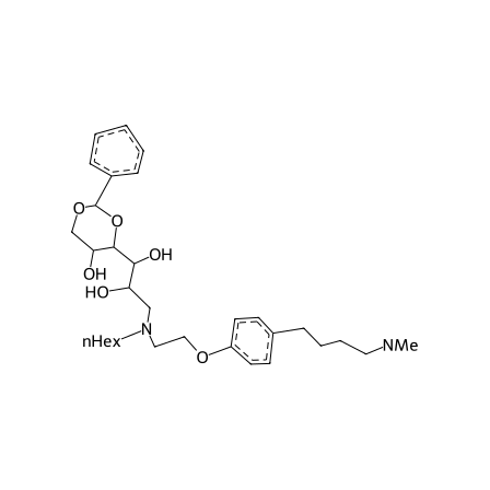 CCCCCCN(CCOc1ccc(CCCCNC)cc1)CC(O)C(O)C1OC(c2ccccc2)OCC1O